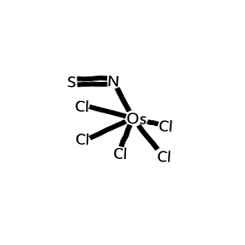 S=[N][Os]([Cl])([Cl])([Cl])([Cl])[Cl]